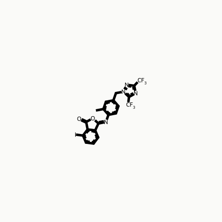 Cc1cc(Cn2nc(C(F)(F)F)nc2C(F)(F)F)ccc1N=C1OC(=O)c2c(I)cccc21